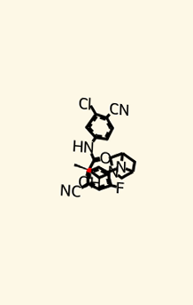 C[C@](O)(CN1CC2CC(C1)N2c1ccc(C#N)cc1F)C(=O)Nc1ccc(C#N)c(Cl)c1